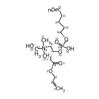 C=CCOC(=O)C[C@H](C[N+](C)(C)C)OP(=O)(O)OCCCCCCCCCCCCCC.[OH-]